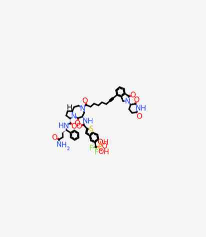 NC(=O)CC[C@H](NC(=O)[C@@H]1CC[C@@H]2CCN(C(=O)CCCCCC#Cc3cccc4c3CN(C3CCC(=O)NC3=O)C4=O)C[C@H](NC(=O)c3cc4cc(C(F)(F)P(=O)(O)O)ccc4s3)C(=O)N21)c1ccccc1